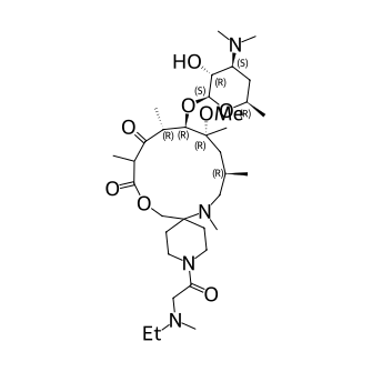 CCN(C)CC(=O)N1CCC2(CC1)COC(=O)C(C)C(=O)[C@H](C)[C@@H](O[C@@H]1O[C@H](C)C[C@H](N(C)C)[C@H]1O)[C@](C)(OC)C[C@@H](C)CN2C